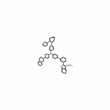 Cc1c(-c2cccc(-c3ccc(N(c4ccc(-c5ccc6ccccc6c5)cc4)c4ccc(-c5ccccc5-c5ccccc5)cc4)cc3)c2)oc2ccccc12